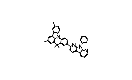 Cc1ccc2c(c1)c1cc(C)cc3c1n2-c1ccc(-c2ccc4c5cccnc5n(-c5ccccc5)c4n2)cc1C3(C)C